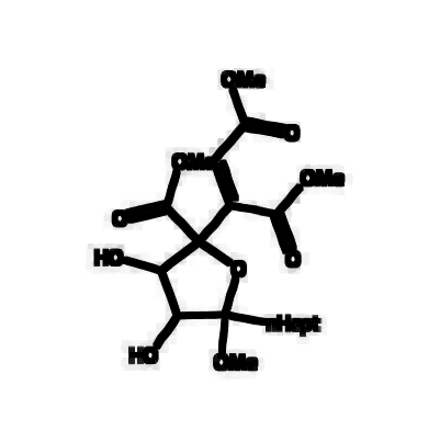 CCCCCCCC1(OC)OC(C(=O)OC)(C(=CC(=O)OC)C(=O)OC)C(O)C1O